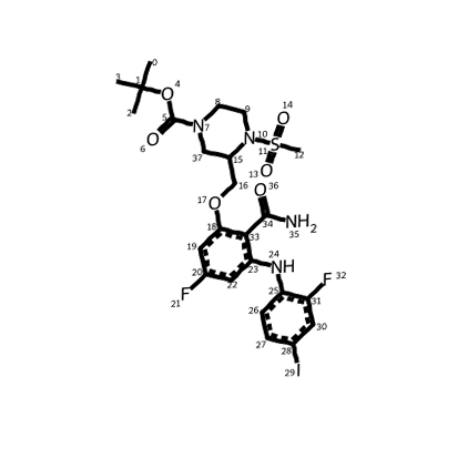 CC(C)(C)OC(=O)N1CCN(S(C)(=O)=O)C(COc2cc(F)cc(Nc3ccc(I)cc3F)c2C(N)=O)C1